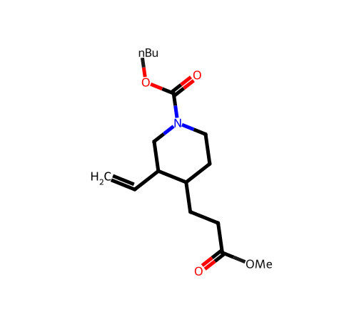 C=CC1CN(C(=O)OCCCC)CCC1CCC(=O)OC